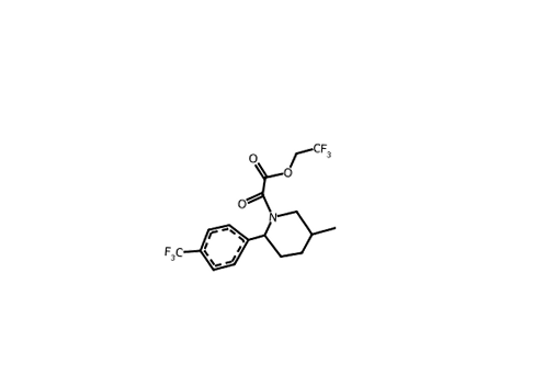 CC1CCC(c2ccc(C(F)(F)F)cc2)N(C(=O)C(=O)OCC(F)(F)F)C1